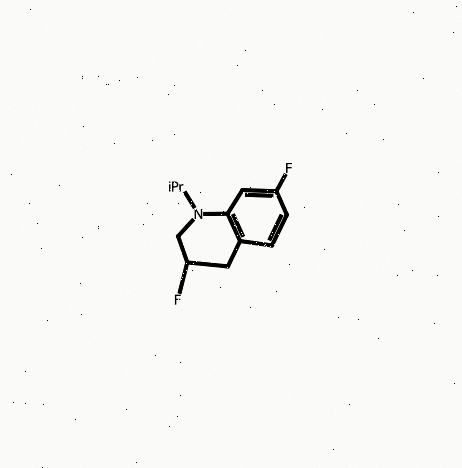 CC(C)N1CC(F)Cc2ccc(F)cc21